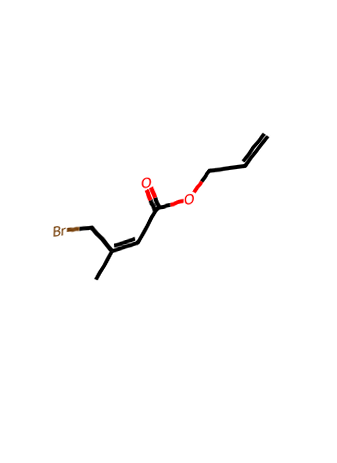 C=CCOC(=O)C=C(C)CBr